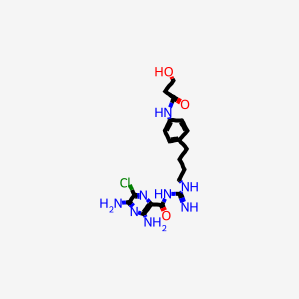 N=C(NCCCCc1ccc(NC(=O)CCO)cc1)NC(=O)c1nc(Cl)c(N)nc1N